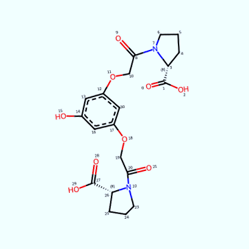 O=C(O)[C@H]1CCCN1C(=O)COc1cc(O)cc(OCC(=O)N2CCC[C@@H]2C(=O)O)c1